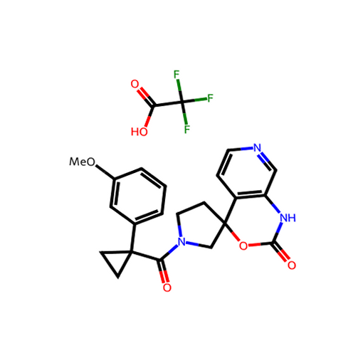 COc1cccc(C2(C(=O)N3CCC4(C3)OC(=O)Nc3cnccc34)CC2)c1.O=C(O)C(F)(F)F